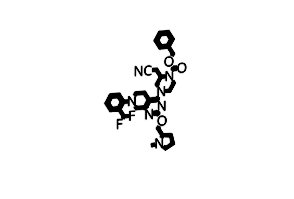 CN1CCCC1COc1nc2c(c(N3CCN(C(=O)OCc4ccccc4)C(CC#N)C3)n1)CCN(c1ccccc1C(F)F)C2